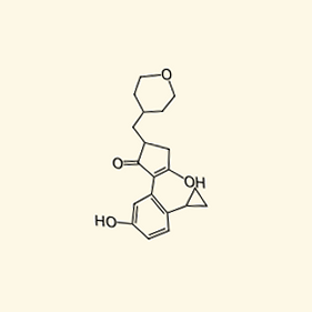 O=C1C(c2cc(O)ccc2C2CC2)=C(O)CC1CC1CCOCC1